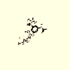 CC(=S)Nc1cccc(NS(C)(=O)=O)c1.O=[PH](O)O.O=[PH](O)O